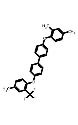 Cc1ccc(Oc2ccc(-c3ccc(Oc4ccc(C)cc4C(F)(F)F)cc3)cc2)c(C)c1